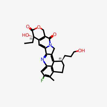 CC[C@@]1(O)C(=O)OCc2c1cc1n(c2=O)Cc2c-1nc1cc(F)c(C)c3c1c2[C@@H](CCCO)CC3